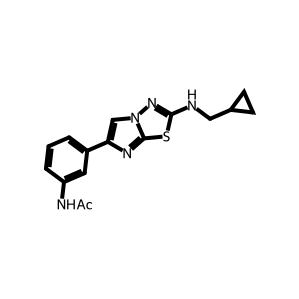 CC(=O)Nc1cccc(-c2cn3nc(NCC4CC4)sc3n2)c1